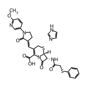 COc1ccc(N2CC/C(=C\C3=C(C(=O)O)N4C(=O)[C@@H](NC(=O)CSc5ccccc5)[C@H]4SC3)C2=O)cn1.c1c[nH]cn1